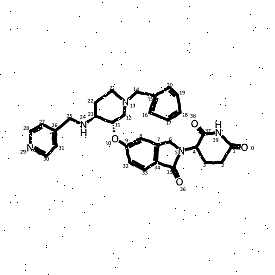 O=C1CCC(N2Cc3cc(O[C@H]4CN(Cc5ccccc5)CC[C@@H]4NCc4ccncc4)ccc3C2=O)C(=O)N1